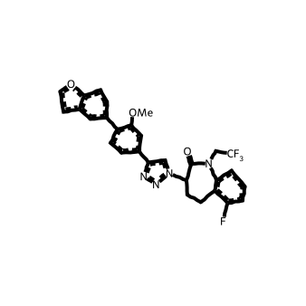 COc1cc(-c2cn(C3CCc4c(F)cccc4N(CC(F)(F)F)C3=O)nn2)ccc1-c1ccc2occc2c1